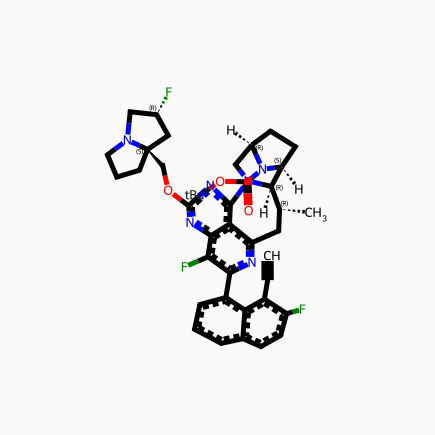 C#Cc1c(F)ccc2cccc(-c3nc4c5c(nc(OC[C@@]67CCCN6C[C@H](F)C7)nc5c3F)N3C[C@H]5CC[C@@H]([C@H]3[C@H](C)C4)N5C(=O)OC(C)(C)C)c12